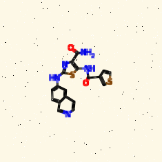 NC(=O)c1nc(Nc2ccc3cnccc3c2)sc1NC(=O)c1ccsc1